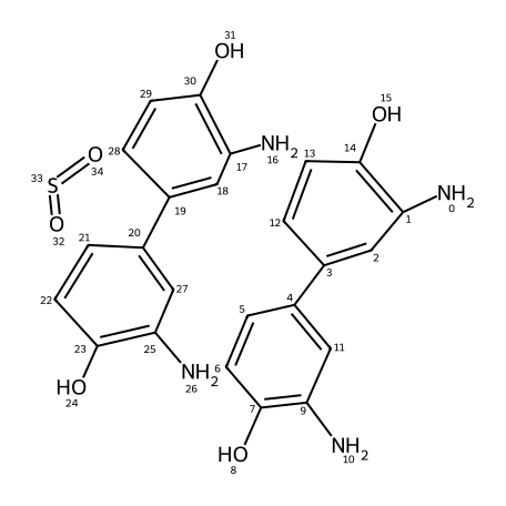 Nc1cc(-c2ccc(O)c(N)c2)ccc1O.Nc1cc(-c2ccc(O)c(N)c2)ccc1O.O=S=O